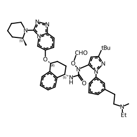 CCN(C)CCc1cccc(-n2nc(C(C)(C)C)cc2N(OC=O)C(=O)N[C@H]2CC[C@@H](Oc3ccc4nnc(N5CCCC[C@@H]5C)n4c3)c3ccccc32)c1